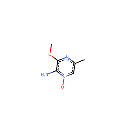 COc1nc(C)c[n+]([O-])c1N